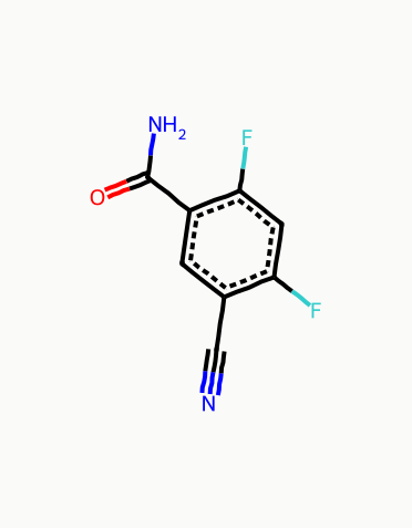 N#Cc1cc(C(N)=O)c(F)cc1F